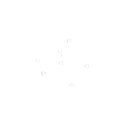 CCOC(C)OCC.O=C(Cl)Cl